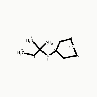 CCC(N)(N)NC1CCCCC1